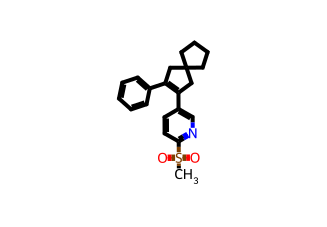 CS(=O)(=O)c1ccc(C2=C(c3ccccc3)CC3(CCCC3)C2)cn1